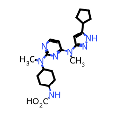 CN(c1cc(C2CCCC2)[nH]n1)c1ccnc(N(C)C2CCC(NC(=O)O)CC2)n1